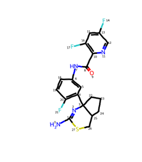 NC1=NC2(c3cc(NC(=O)c4ncc(F)cc4F)ccc3F)CCCC2CS1